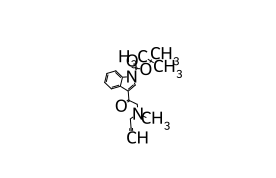 C#CCN(C)CC(=O)c1cn(C(=O)OC(C)(C)C)c2ccccc12